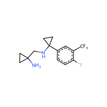 NC1(CNC2(c3ccc(F)c(C(F)(F)F)c3)CC2)CC1